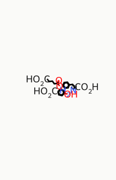 N[C@@H](Cc1ccc(OC(=O)CCCC(=O)O)cc1)C(=O)O.O=C(O)c1ccc(O)cc1